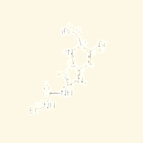 CCNC(=O)Nc1nc2cc(Br)c(OC(C)C)nc2s1